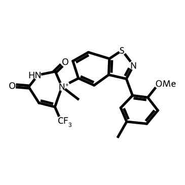 COc1ccc(C)cc1-c1nsc2ccc([N+]3(C)C(=O)NC(=O)C=C3C(F)(F)F)cc12